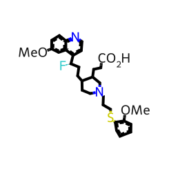 COc1ccc2nccc([C@@H](F)CCC3CCN(CCCSc4ccccc4OC)CC3CCC(=O)O)c2c1